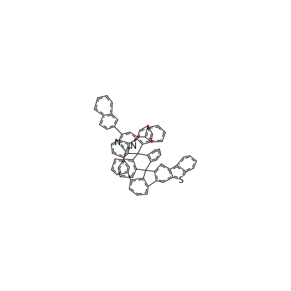 c1ccc(-c2cc(-c3ccc4ccccc4c3)nc(-c3cccc(-c4cccc5c4C4(c6cc7c(cc6-5)sc5ccccc57)c5ccccc5C5(c6ccccc6-c6ccccc65)c5ccccc54)c3)n2)cc1